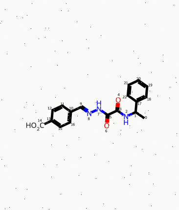 CC(NC(=O)C(=O)NN=Cc1ccc(C(=O)O)cc1)c1ccccc1